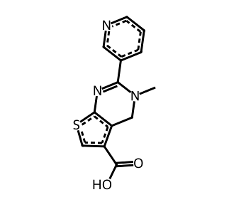 CN1Cc2c(C(=O)O)csc2N=C1c1cccnc1